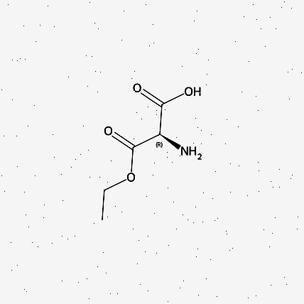 CCOC(=O)[C@H](N)C(=O)O